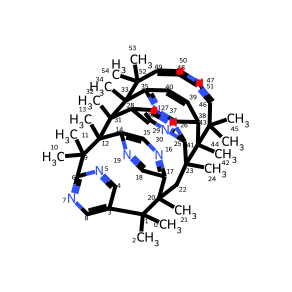 CC1(C)c2cnc(nc2)C(C)(C)C2(C)c3cnc(cn3)C1(C)CC1(C)c3ncc(cn3)C2(C)C2(C)C3=NCC(C=C3)C1(C)C(C)(C)c1ccc(cn1)C2(C)C